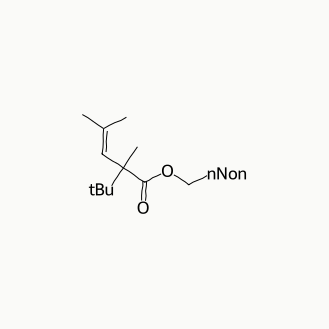 CCCCCCCCCCOC(=O)C(C)(C=C(C)C)C(C)(C)C